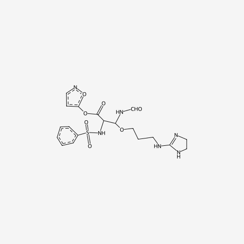 O=CNC(OCCCNC1=NCCN1)C(NS(=O)(=O)c1ccccc1)C(=O)Oc1ccno1